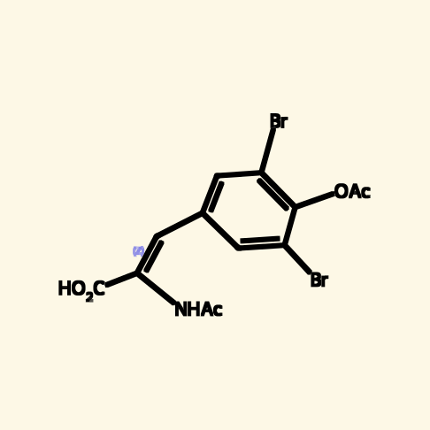 CC(=O)N/C(=C\c1cc(Br)c(OC(C)=O)c(Br)c1)C(=O)O